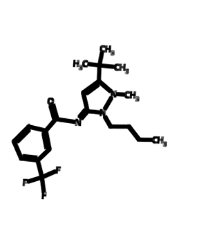 CCCCn1/c(=N/C(=O)c2[c]ccc(C(F)(F)F)c2)cc(C(C)(C)C)n1C